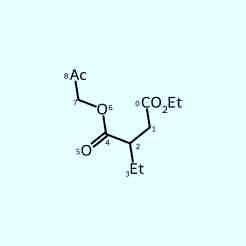 CCOC(=O)CC(CC)C(=O)OCC(C)=O